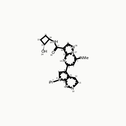 CNc1cc(-c2cn(C(C)C)c3nnccc23)nc2c(C(=O)NC3CC[C@H]3O)cnn12